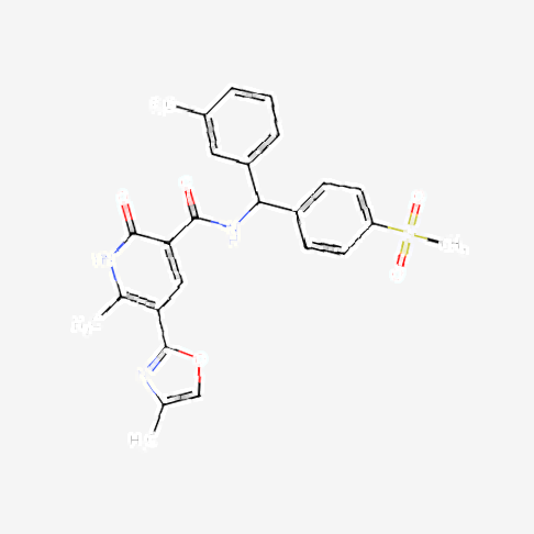 Cc1coc(-c2cc(C(=O)NC(c3ccc(S(C)(=O)=O)cc3)c3cccc(C(F)(F)F)c3)c(=O)[nH]c2C)n1